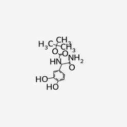 CC(C)(C)OC(=O)NC(C(N)=O)c1ccc(O)c(O)c1